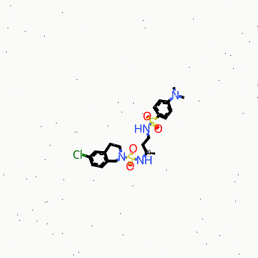 C[C@H](CCNS(=O)(=O)c1ccc(N(C)C)cc1)NS(=O)(=O)N1CCc2cc(Cl)ccc2C1